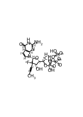 CC#CC1(F)[C@@H](O)[C@@H]([C@@H](C)OP(=O)(O)OP(=O)(O)OP(=O)(O)O)O[C@H]1n1ccc2c(=O)[nH]c(N)nc21